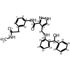 CNC(=O)Cc1cccc(NC(=O)c2n[nH]cc2CNc2ccccc2C(O)c2ccccc2)c1